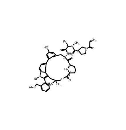 C=CC(=O)N1CC[C@H](C(=O)N(C)C(C(=O)N[C@H]2Cc3cc(O)cc(c3)-c3ccc4c(c3)c(c(-c3cccnc3CNC)n4CC)CC(C)(C)COC(=O)[C@@H]3CCCN(N3)C2=O)C(C)C)C1